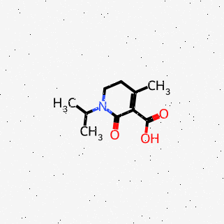 CC1=C(C(=O)O)C(=O)N(C(C)C)CC1